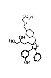 O=C(O)COCC1CCC(Cn2nc(-c3ccccc3)c(-c3cccc(O)c3)c2CC[C@H](O)CO)CC1